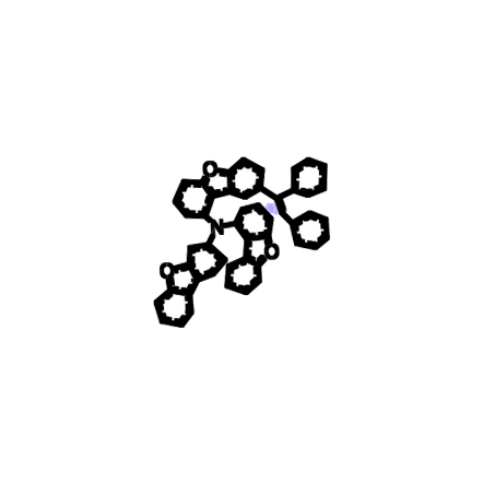 C(=C(/c1ccccc1)c1ccc2oc3cccc(N(c4ccc5c(c4)oc4ccccc45)c4cccc5oc6ccccc6c45)c3c2c1)/c1ccccc1